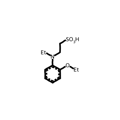 CCOc1ccccc1N(CC)CCS(=O)(=O)O